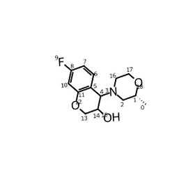 C[C@@H]1CN(C2c3ccc(F)cc3OCC2O)CCO1